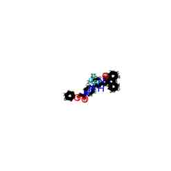 O=C(COc1ccccc1)N1CCN(CCCCC2(C(=O)NCC(F)(F)F)c3ccccc3-c3ccccc32)CC1